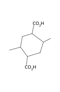 CC1CC(C(=O)O)C(C)CC1C(=O)O